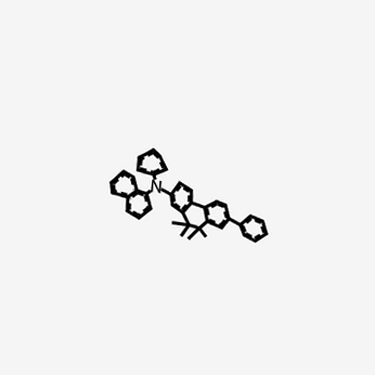 CC1(C)c2cc(-c3ccccc3)ccc2-c2ccc(N(c3ccccc3)c3cccc4ccccc34)cc2C1(C)C